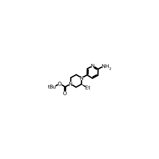 CC[C@H]1CN(C(=O)OC(C)(C)C)CCN1c1ccc(N)nc1